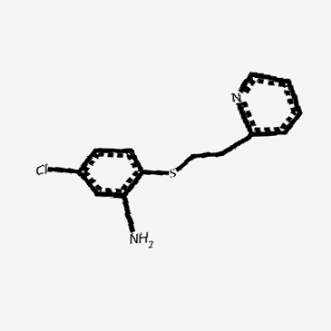 Nc1cc(Cl)ccc1SCCc1ccccn1